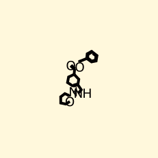 O=C(OCc1ccccc1)C1CCC2=C(CNN2C2CCCCO2)C1